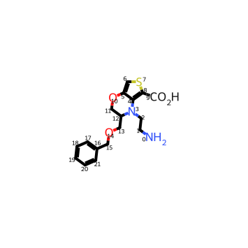 NCCN1c2c(csc2C(=O)O)OCC1COCc1ccccc1